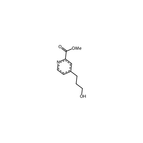 COC(=O)c1cc(CCCO)ccn1